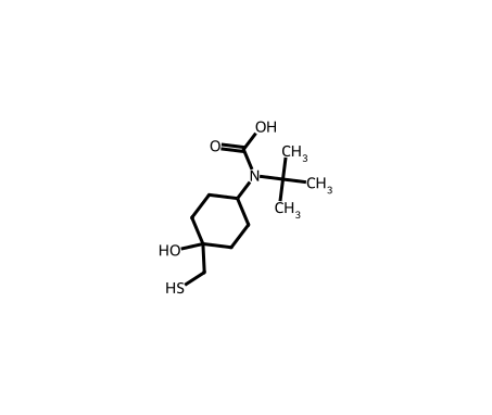 CC(C)(C)N(C(=O)O)C1CCC(O)(CS)CC1